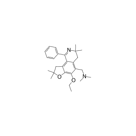 CCOc1c(CN(C)C)c2c(c3c1OC(C)(C)C3)C(c1ccccc1)=NC(C)(C)C2